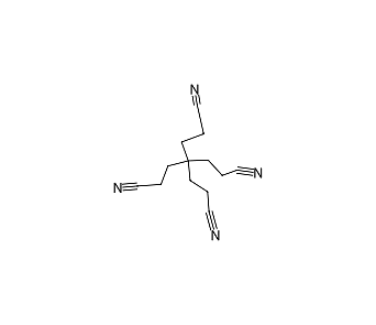 N#CCCC(CCC#N)(CCC#N)CCC#N